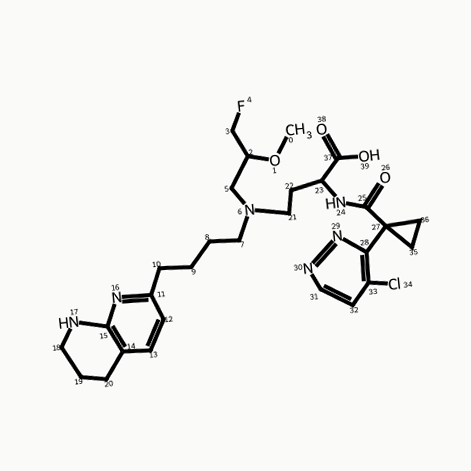 COC(CF)CN(CCCCc1ccc2c(n1)NCCC2)CCC(NC(=O)C1(c2nnccc2Cl)CC1)C(=O)O